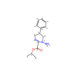 CC(C)OC(=O)C1=NCC(c2ccccc2)CN1N